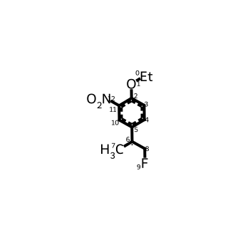 CCOc1ccc([C](C)CF)cc1[N+](=O)[O-]